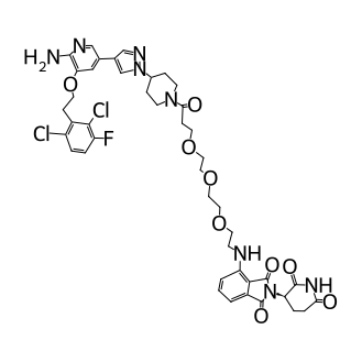 Nc1ncc(-c2cnn(C3CCN(C(=O)CCOCCOCCOCCNc4cccc5c4C(=O)N([C@@H]4CCC(=O)NC4=O)C5=O)CC3)c2)cc1OCCc1c(Cl)ccc(F)c1Cl